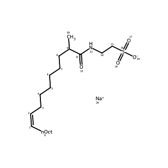 CCCCCCCC/C=C\CCCCCCC(C)C(=O)NCCS(=O)(=O)[O-].[Na+]